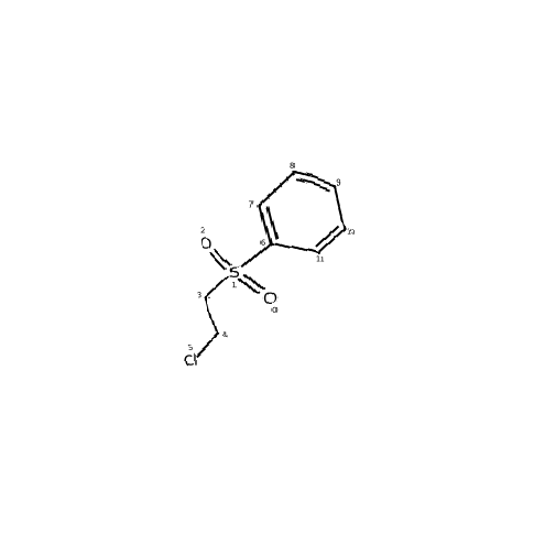 O=S(=O)([CH]CCl)c1ccccc1